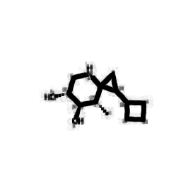 C[C@@H]1[C@@H](O)[C@H](O)CNC12CC2C1CCC1